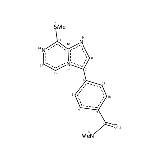 CNC(=O)c1ccc(-c2cnc3c(SC)nccn23)cc1